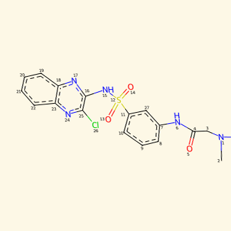 CN(C)CC(=O)Nc1cccc(S(=O)(=O)Nc2nc3ccccc3nc2Cl)c1